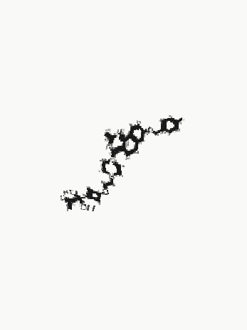 CC(=O)C(O)(O)[C@H]1C[C@@H](OCCN2CCN(c3nc(C)nc4c3CCc3cc(OCc5ccc(C)cc5)ccc3-4)CC2)C1